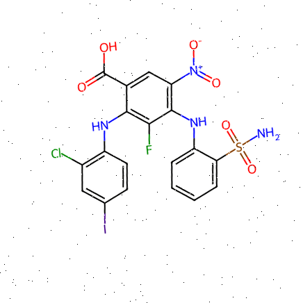 NS(=O)(=O)c1ccccc1Nc1c([N+](=O)[O-])cc(C(=O)O)c(Nc2ccc(I)cc2Cl)c1F